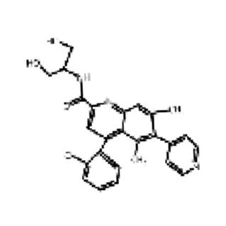 Cc1cc2nc(C(=O)NC(CO)CO)cc(-c3ccccc3Cl)c2c(C)c1-c1ccncc1